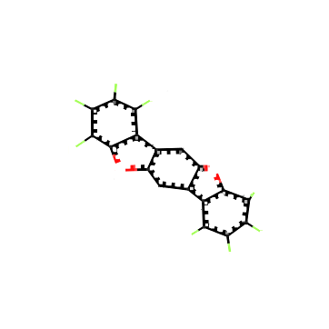 Fc1c(F)c(F)c2c(oc3cc4c(cc32)oc2c(F)c(F)c(F)c(F)c24)c1F